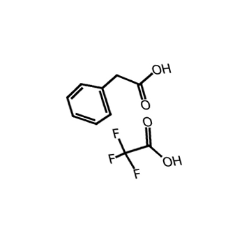 O=C(O)C(F)(F)F.O=C(O)Cc1ccccc1